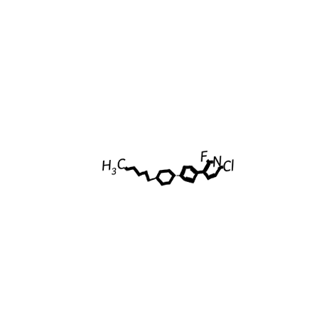 CCCCCC[C@H]1CC[C@H](c2ccc(-c3ccc(Cl)nc3F)cc2)CC1